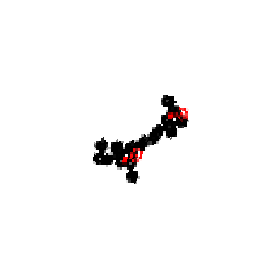 c1ccc(-c2ccc3c(c2)oc2cccc(-c4c5ccccc5c(-c5ccc6cc(-c7ccc(-c8ccc(-c9c%10ccccc%10c(-c%10ccc%11cccc(-c%12ccccc%12)c%11c%10)c%10ccccc9%10)c9c8oc8cc(-c%10ccccc%10)ccc89)cc7)ccc6c5)c5ccccc45)c23)cc1